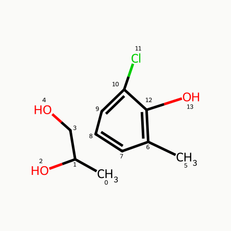 CC(O)CO.Cc1cccc(Cl)c1O